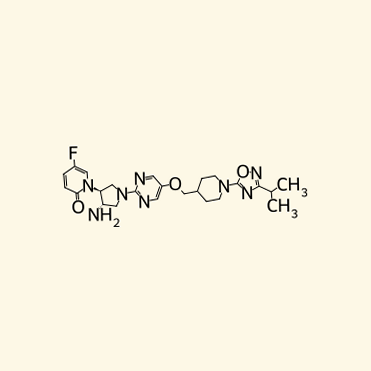 CC(C)c1noc(N2CCC(COc3cnc(N4C[C@H](N)[C@@H](n5cc(F)ccc5=O)C4)nc3)CC2)n1